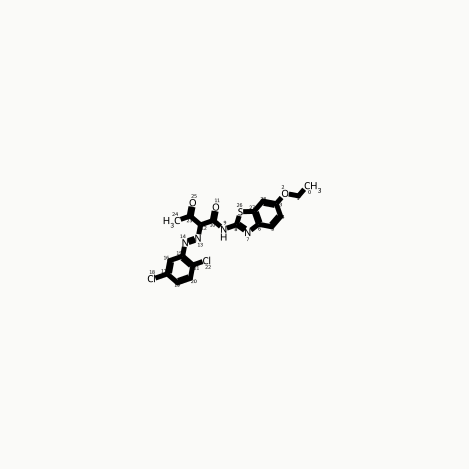 CCOc1ccc2nc(NC(=O)C(N=Nc3cc(Cl)ccc3Cl)C(C)=O)sc2c1